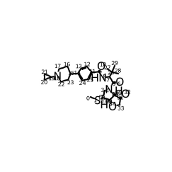 CS[C@H]1CN(C(=O)C(NC(=O)c2ccc(C3CCN(C4CC4)CC3)cc2)C(C)(C)C)[C@@H]2C(=O)CO[C@H]12